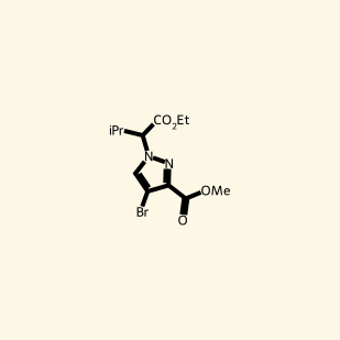 CCOC(=O)C(C(C)C)n1cc(Br)c(C(=O)OC)n1